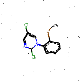 CC(C)Sc1ccccc1N1C=C(Cl)C=NC1Cl